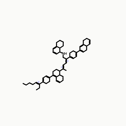 CCCC/C=C(\CC)C1=CC=C(C2=C3C=CCCC3C(/C(C)=C/C=C(\CNC3C=CC=C4CCCCC43)C3=CC=C(C4=CCC5C=CCCC5=C4)CC3)CC2)CC1